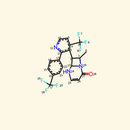 CC1C(c2c(C(F)(F)F)ccnc2-c2ccc(C(F)(F)F)cc2)C2NC=CC(=O)N12